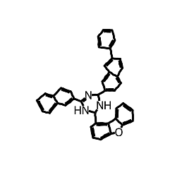 c1ccc(-c2ccc3ccc(C4N=C(c5ccc6ccccc6c5)NC(c5cccc6oc7ccccc7c56)N4)cc3c2)cc1